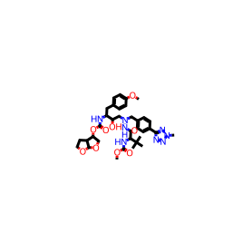 COC(=O)NC(C(=O)NN(Cc1ccc(-c2nnn(C)n2)cc1)CC(O)C(Cc1ccc(OC)cc1)NC(=O)OC1COC2OCCC12)C(C)(C)C